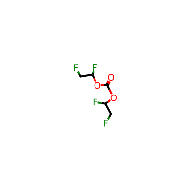 O=C(OC(F)CF)OC(F)CF